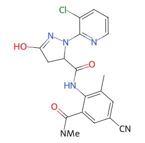 CNC(=O)c1cc(C#N)cc(C)c1NC(=O)C1CC(O)=NN1c1ncccc1Cl